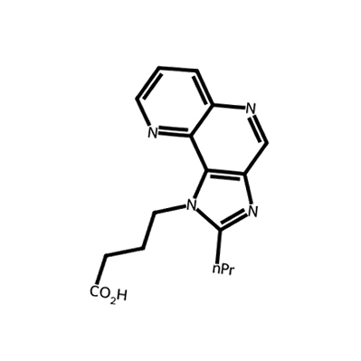 CCCc1nc2cnc3cccnc3c2n1CCCC(=O)O